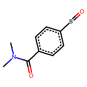 CN(C)C(=O)c1ccc(B=O)cc1